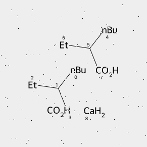 CCCCC(CC)C(=O)O.CCCCC(CC)C(=O)O.[CaH2]